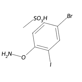 CS(=O)(=O)O.NOc1ccc(Br)cc1I